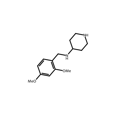 COc1ccc(CNC2CCNCC2)c(OC)c1